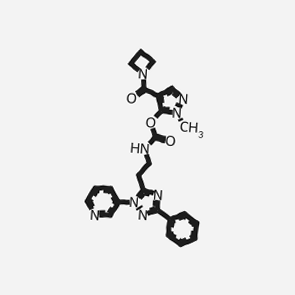 Cn1ncc(C(=O)N2CCC2)c1OC(=O)NCCc1nc(-c2ccccc2)nn1-c1cccnc1